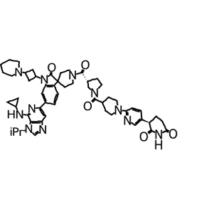 CC(C)n1cnc2cc(-c3ccc4c(c3)N(C3CC(N5CCCCC5)C3)C(=O)C43CCN(C(=O)[C@@H]4CCN(C(=O)C5CCN(c6ccc([C@H]7CCC(=O)NC7=O)cn6)CC5)C4)CC3)nc(NC3CC3)c21